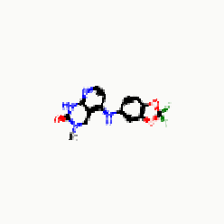 CCN1Cc2c(Nc3ccc4c(c3)OC(F)(F)O4)ccnc2NC1=O